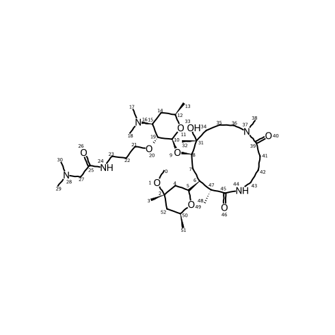 CO[C@]1(C)CC([C@H]2C[C@@H](O[C@@H]3O[C@H](C)C[C@H](N(C)C)[C@H]3OCCCNC(=O)CN(C)C)[C@](C)(O)CCCN(C)C(=O)CCCNC(=O)[C@@H]2C)O[C@@H](C)C1